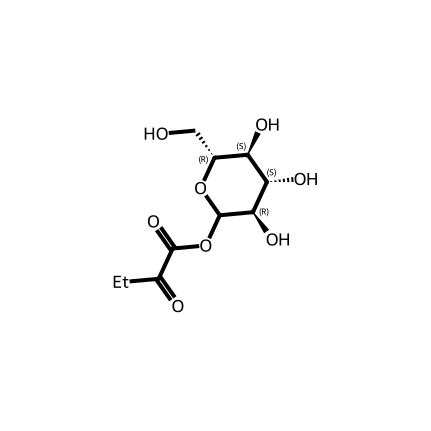 CCC(=O)C(=O)OC1O[C@H](CO)[C@@H](O)[C@H](O)[C@H]1O